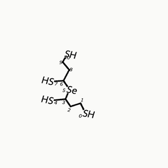 SCCC(S)[Se]C(S)CCS